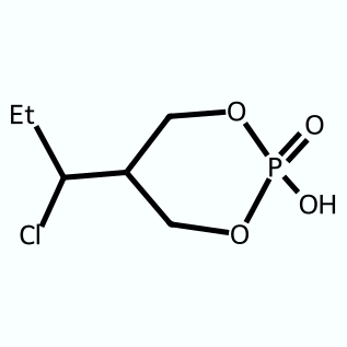 CCC(Cl)C1COP(=O)(O)OC1